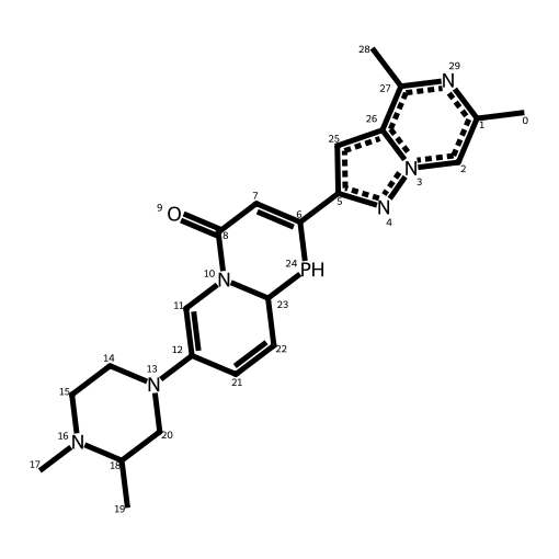 Cc1cn2nc(C3=CC(=O)N4C=C(N5CCN(C)C(C)C5)C=CC4P3)cc2c(C)n1